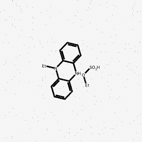 CCN1c2ccccc2Nc2ccccc21.CCOS(=O)(=O)O